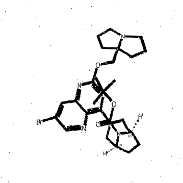 CC(C)(C)OC(=O)N1[C@@H]2CC[C@H]1CN(c1nc(OCC34CCCN3CCC4)nc3cc(Br)cnc13)C2